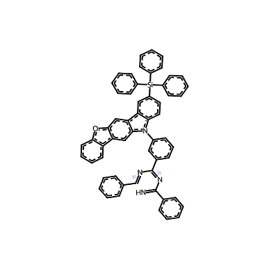 N=C(/N=C(\N=C\c1ccccc1)c1cccc(-n2c3ccc([Si](c4ccccc4)(c4ccccc4)c4ccccc4)cc3c3cc4oc5ccccc5c4cc32)c1)c1ccccc1